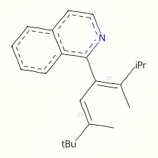 C/C(=C(\C=C(/C)C(C)(C)C)c1nccc2ccccc12)C(C)C